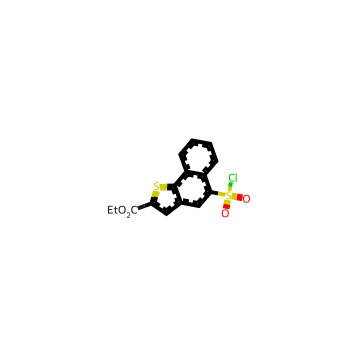 CCOC(=O)c1cc2cc(S(=O)(=O)Cl)c3ccccc3c2s1